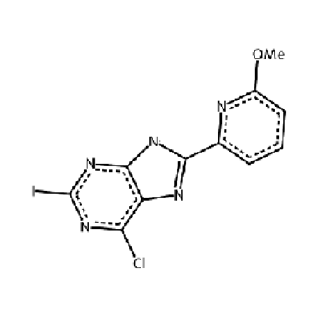 COc1cccc(C2=Nc3c(Cl)nc(I)nc3[N]2)n1